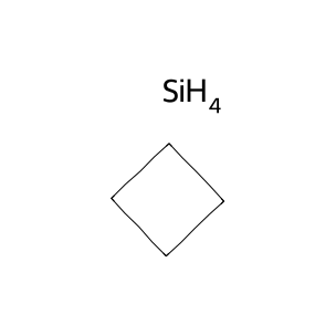 C1CCC1.[SiH4]